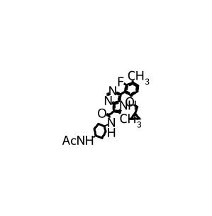 CC(=O)N[C@H]1CC[C@@H](NC(=O)c2c(C)[nH]c3c(-c4c(OCC5CC5)ccc(C)c4F)ncnc23)CC1